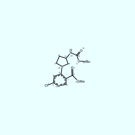 COC(=O)c1cnc(Cl)cc1N1CCC(NC(=O)OC(C)(C)C)C1